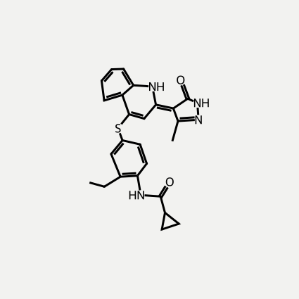 CCc1cc(SC2=C/C(=C3/C(=O)NN=C3C)Nc3ccccc32)ccc1NC(=O)C1CC1